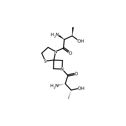 C[C@@H](O)[C@H](N)C(=O)N1CC2(C1)SCCN2C(=O)[C@@H](N)[C@@H](C)O